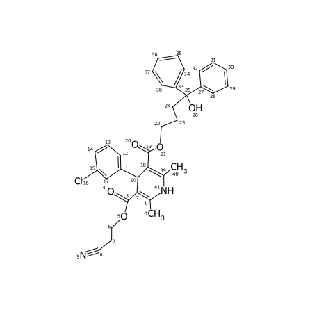 CC1=C(C(=O)OCCC#N)C(c2cccc(Cl)c2)C(C(=O)OCCCC(O)(c2ccccc2)c2ccccc2)=C(C)N1